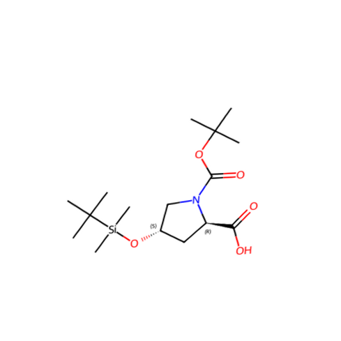 CC(C)(C)OC(=O)N1C[C@@H](O[Si](C)(C)C(C)(C)C)C[C@@H]1C(=O)O